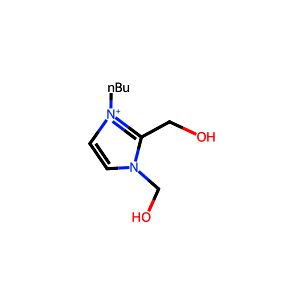 CCCC[n+]1ccn(CO)c1CO